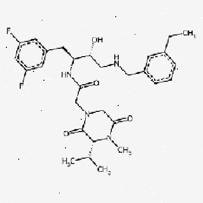 CCc1cccc(CNC[C@@H](O)[C@H](Cc2cc(F)cc(F)c2)NC(=O)CN2CC(=O)N(C)[C@H](C(C)C)C2=O)c1